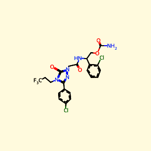 NC(=O)OCC(NC(=O)Cn1nc(-c2ccc(Cl)cc2)n(CCC(F)(F)F)c1=O)c1ccccc1Cl